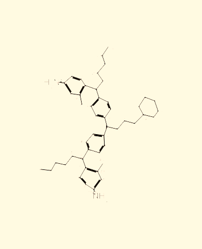 CCCCCC(c1ccc(C(CCCC2CCCCC2)c2ccc(C(CCCCC)c3ccc(N)cc3C)cc2)cc1)c1ccc(N)cc1C